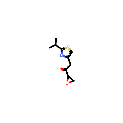 CC(C)c1nc(CC(=O)C2CO2)cs1